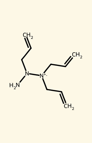 C=CCN(N)[N+](CC=C)CC=C